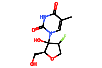 Cc1cn(C2(O)[C@H](CO)OC[C@@H]2F)c(=O)[nH]c1=O